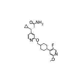 COc1cc(C2CCC(COc3cc([C@@H](CC(N)=O)C4CC4)ccn3)CC2)c(F)cn1